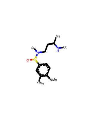 CCCC(CCN(CC)[S+]([O-])c1ccc(NC)c(OC)c1)NCC